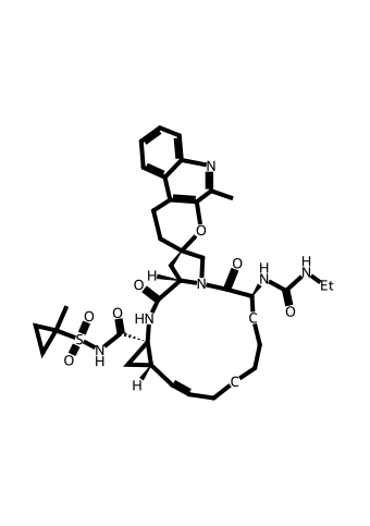 CCNC(=O)N[C@H]1CCCCCC=C[C@@H]2C[C@@]2(C(=O)NS(=O)(=O)C2(C)CC2)NC(=O)[C@@H]2C[C@]3(CCc4c(c(C)nc5ccccc45)O3)CN2C1=O